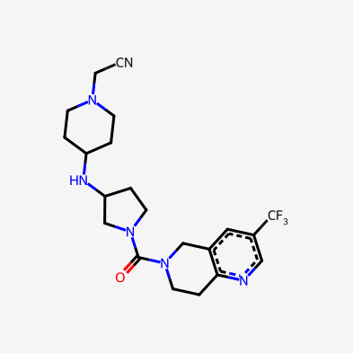 N#CCN1CCC(NC2CCN(C(=O)N3CCc4ncc(C(F)(F)F)cc4C3)C2)CC1